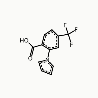 O=C(O)c1ccc(C(F)(F)F)cc1-n1cccc1